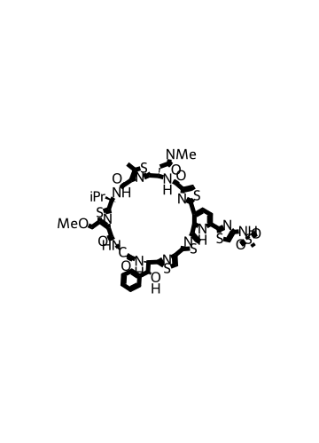 CNC(=O)C[C@@H]1NC(=O)c2csc(n2)C2=CC=C(c3nc(NS(C)(=O)=O)cs3)NC2c2csc(n2)-c2csc(n2)[C@H]([C@@H](O)c2ccccc2)NC(=O)CNC(=O)c2nc(sc2COC)[C@@H](C(C)C)NC(=O)c2nc1sc2C